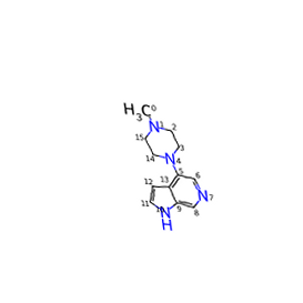 CN1CCN(c2cncc3[nH]ccc23)CC1